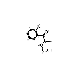 CC(OC(=O)O)C(=O)c1ccccc1Cl